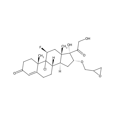 C[C@]12CCC(=O)C=C1CC[C@H]1[C@@H]3C[C@@H](OCC4CO4)[C@](O)(C(=O)CO)[C@@]3(C)C[C@H](F)C12Cl